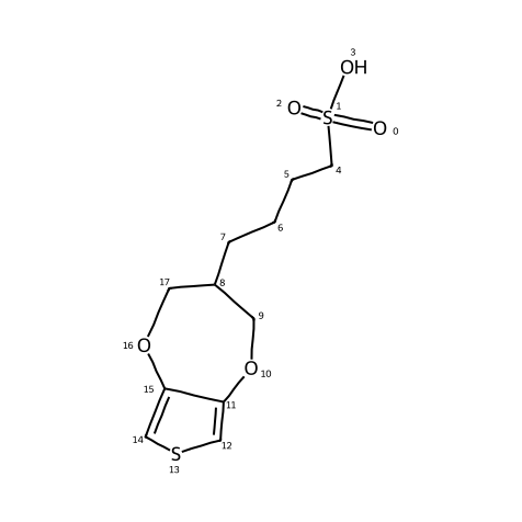 O=S(=O)(O)CCCCC1COc2cscc2OC1